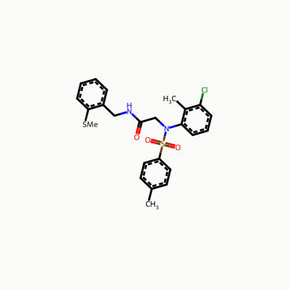 CSc1ccccc1CNC(=O)CN(c1cccc(Cl)c1C)S(=O)(=O)c1ccc(C)cc1